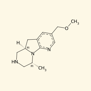 COCc1cnc2c(c1)C[C@@H]1CNC[C@@H](C)N21